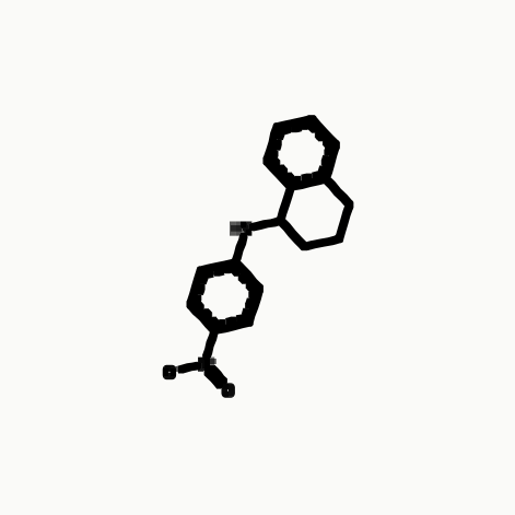 O=[N+]([O-])c1ccc(NC2CCCc3ccccc32)cc1